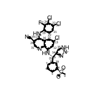 CS(=O)(=O)c1cccc([C@H](Nc2cc(Cl)cc3c(Nc4ccc(Cl)c(Cl)c4F)c(C#N)cnc23)c2c[nH]nn2)c1